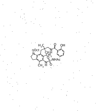 CCCCCCCCN1CCc2c(C)c(NS(=O)(=O)NC(C)=O)c(C)c(CC(C)(C)CNC(=O)c3ccccc3O)c21